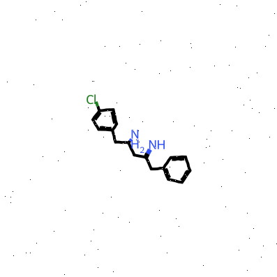 N=C(Cc1ccccc1)CC(N)Cc1ccc(Cl)cc1